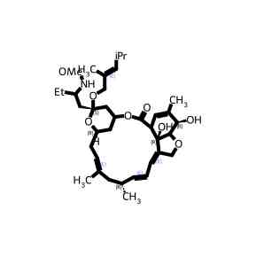 CCC(C[C@@]1(OC/C(C)=C/C(C)C)CC2C[C@@H](C/C=C(\C)C[C@@H](C)/C=C/C=C3\COC4[C@H](O)C(C)=CC(C(=O)O2)[C@@]34O)O1)NOC